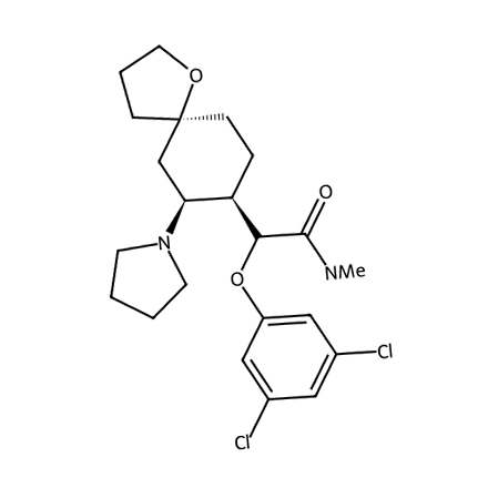 CNC(=O)C(Oc1cc(Cl)cc(Cl)c1)[C@@H]1CC[C@@]2(CCCO2)C[C@@H]1N1CCCC1